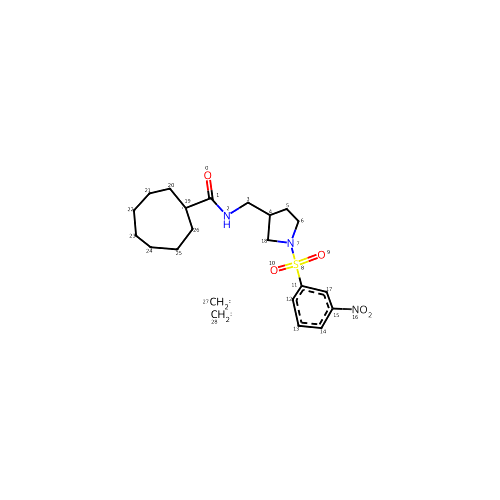 O=C(NCC1CCN(S(=O)(=O)c2cccc([N+](=O)[O-])c2)C1)[C]1CCCCCCC1.[CH2].[CH2]